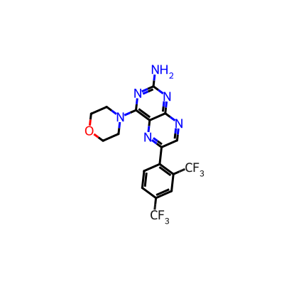 Nc1nc(N2CCOCC2)c2nc(-c3ccc(C(F)(F)F)cc3C(F)(F)F)cnc2n1